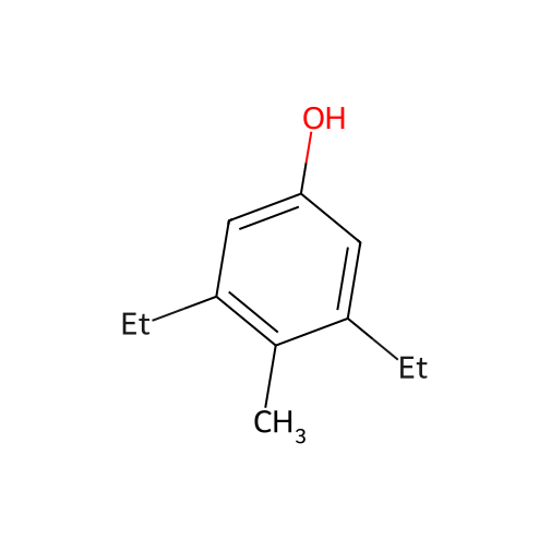 CCc1cc(O)cc(CC)c1C